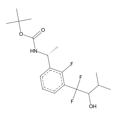 CC(C)C(O)C(F)(F)c1cccc([C@@H](C)NC(=O)OC(C)(C)C)c1F